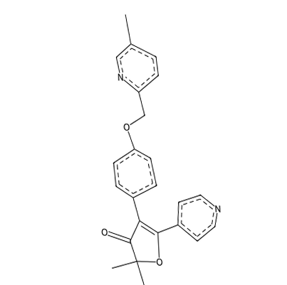 Cc1ccc(COc2ccc(C3=C(c4ccncc4)OC(C)(C)C3=O)cc2)nc1